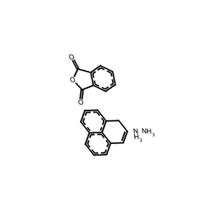 C1=Cc2cccc3cccc(c23)C1.N.N.O=C1OC(=O)c2ccccc21